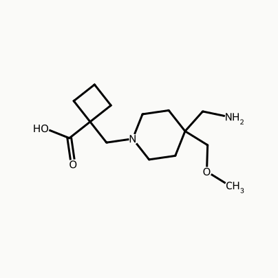 COCC1(CN)CCN(CC2(C(=O)O)CCC2)CC1